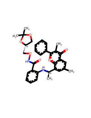 Cc1cc([C@@H](C)Nc2ccccc2C(=O)NOC[C@H]2COC(C)(C)O2)c2oc(-c3ccccc3)c(C)c(=O)c2c1